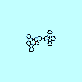 c1ccc(-c2cc(-c3ccc4cc(-n5c6ccccc6c6ccc7c8ccccc8n(-c8ccccc8)c7c65)ccc4c3)nc(-c3ccccc3-c3ccccc3)n2)cc1